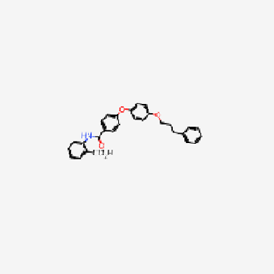 O=C(Nc1ccccc1C(=O)O)c1ccc(Oc2ccc(OCCCc3ccccc3)cc2)cc1